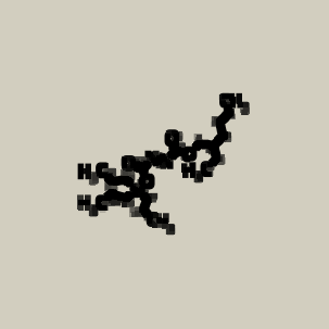 CCCCC(CC)COC(=O)N=NC(=O)O[Si](CCC)(CCC)CCC